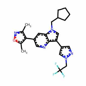 Cc1noc(C)c1-c1cnc2c(-c3cnn(CC(F)(F)F)c3)cn(CC3CCCC3)c2c1